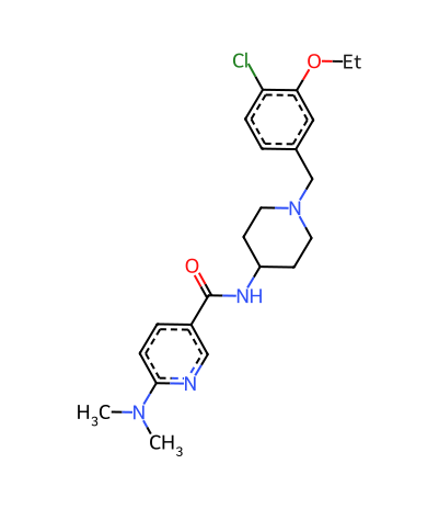 CCOc1cc(CN2CCC(NC(=O)c3ccc(N(C)C)nc3)CC2)ccc1Cl